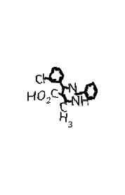 CC1=C(C(=O)O)C(c2cccc(Cl)c2)N=C(c2ccccc2)N1